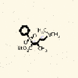 CCOC(=O)/C(=C(C)/C=C/N(C)C)S(=O)(=O)c1ccccc1